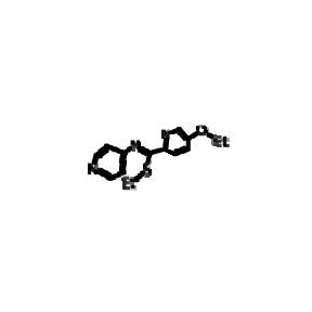 CCOc1ccc(C(=Nc2ccncc2)SCC)nc1